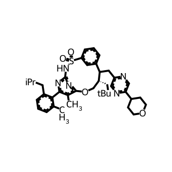 Cc1cccc(CC(C)C)c1-c1nc2nc(c1C)OC[C@@H](CC(C)(C)C)C(Cc1cnc(C3CCOCC3)cn1)c1cccc(c1)S(=O)(=O)N2